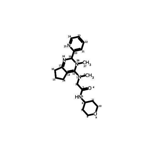 CN(CC(=O)NC1CCOCC1)C1=C2CCCC2=NC(c2ccccn2)N1C